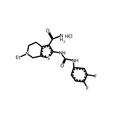 CCN1CCc2c(sc(NC(=O)Nc3ccc(F)c(F)c3)c2C(N)=O)C1.Cl